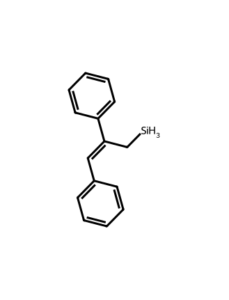 [SiH3]CC(=Cc1ccccc1)c1ccccc1